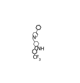 FC(F)(F)c1ccc2c3c([nH]c2c1)CCC(CN1CC=C(c2ccccc2)CC1)C3